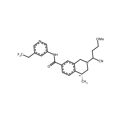 COCCC(C#N)N1Cc2cc(C(=O)Nc3cncc(CC(F)(F)F)c3)ccc2[C@@H](C)C1